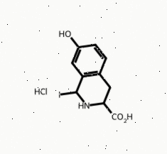 Cl.O=C(O)C1Cc2ccc(O)cc2C(I)N1